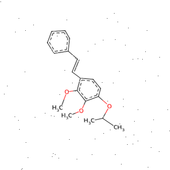 COc1c(C=Cc2ccccc2)ccc(OC(C)C)c1OC